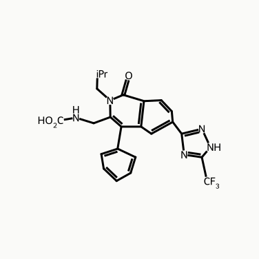 CC(C)Cn1c(CNC(=O)O)c(-c2ccccc2)c2cc(-c3n[nH]c(C(F)(F)F)n3)ccc2c1=O